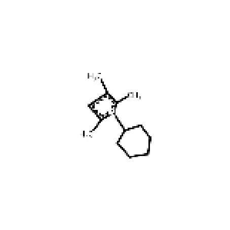 Cc1cc(C)n(C2CCCCC2)c1C